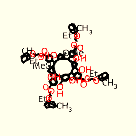 CCC1C2CC3CC(C)(C2)CC1(OCCOC(=O)c1ccc(C2c4cc(c(OC)cc4O)C(c4ccc(C(=O)OCCOC56CC7CC(CC(C)(C7)C5)C6CC)cc4)c4cc(c(OC)cc4O)C(c4ccc(C(=O)OCCOC56CC7CC(CC(C)(C7)C5)C6CC)cc4)c4cc(c(CO)cc4O)C(c4ccc(C(=O)OCCOC56CC7CC(CC(C)(C7)C5)C6CC)cc4)c4cc2c(CO)cc4O)cc1)C3